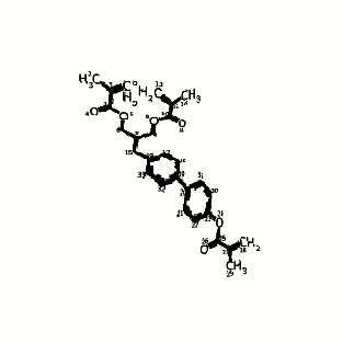 C=C(C)C(=O)OCC(COC(=O)C(=C)C)Cc1ccc(-c2ccc(OC(=O)C(=C)C)cc2)cc1